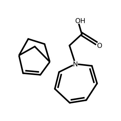 C1=CC2CCC1C2.O=C(O)CN1C=CC=CC=C1